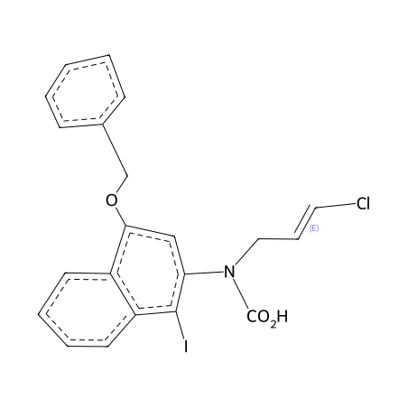 O=C(O)N(C/C=C/Cl)c1cc(OCc2ccccc2)c2ccccc2c1I